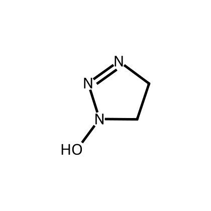 ON1CCN=N1